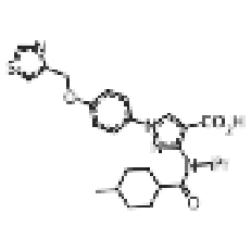 CC1CCC(C(=O)N(c2nn(-c3ccc(OCc4cscn4)cc3)cc2C(=O)O)C(C)C)CC1